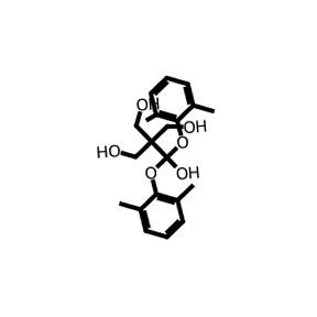 Cc1cccc(C)c1OC(O)(Oc1c(C)cccc1C)C(CO)(CO)CO